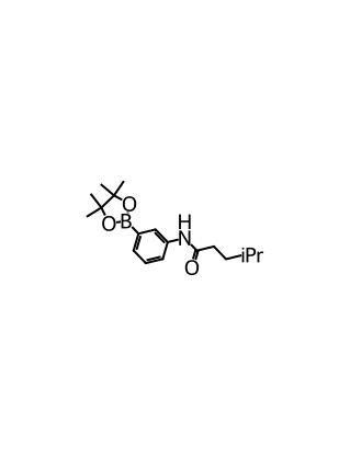 CC(C)CCC(=O)Nc1cccc(B2OC(C)(C)C(C)(C)O2)c1